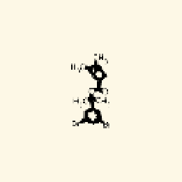 CC1C2CC(C(=O)OC(C)(C)c3cc(Br)cc(Br)c3)C(C2)C1C